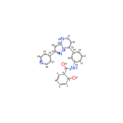 O=C1C=CC=CC1C(=O)Nc1cccc(-c2ccnc3cc(-c4ccncc4)nn23)c1